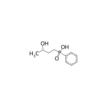 CC(O)CCP(=O)(O)c1ccccc1